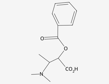 CC(C(OC(=O)c1ccccc1)C(=O)O)N(C)C